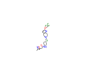 Cc1cc(CC(=O)N[C@H]2CC[C@](F)(CCN3CCc4ccc(OCC(F)(F)F)nc4CC3)CC2)on1